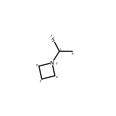 CC([S])N1CCC1